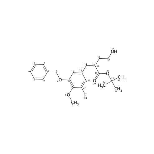 COc1c(OCc2ccccc2)cc(CN(CCO)C(=O)OC(C)(C)C)nc1F